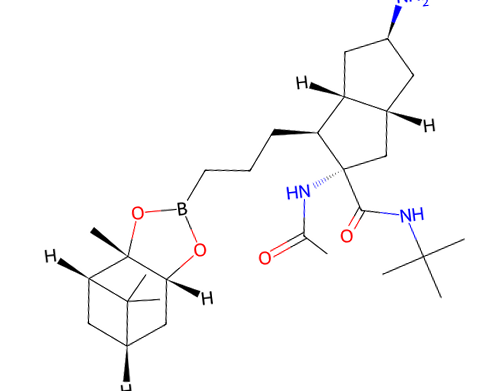 CC(=O)N[C@@]1(C(=O)NC(C)(C)C)C[C@H]2C[C@H](N)C[C@H]2[C@@H]1CCCB1O[C@@H]2C[C@@H]3C[C@@H](C3(C)C)[C@]2(C)O1